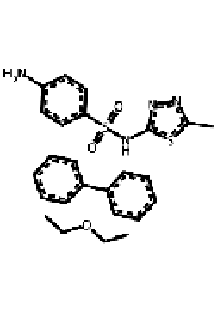 CCOCC.Cc1nnc(NS(=O)(=O)c2ccc(N)cc2)s1.c1ccc(-c2ccccc2)cc1